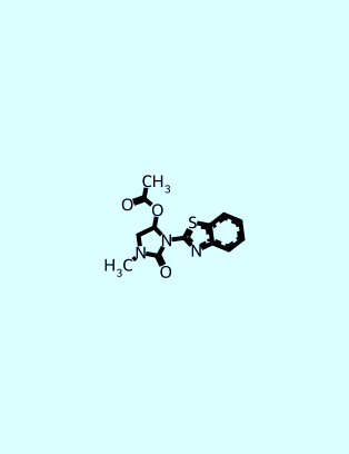 CC(=O)OC1CN(C)C(=O)N1c1nc2ccccc2s1